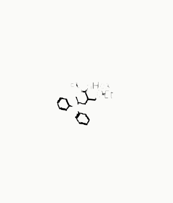 CCCCCCC(OCC)C(COCC)CC(C)[SiH](c1ccccc1)c1ccccc1